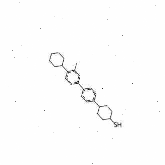 Cc1cc(-c2ccc(C3CCC(S)CC3)cc2)ccc1C1CCCCC1